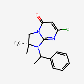 CC(c1ccccc1)N1c2nc(Cl)cc(=O)n2C[C@@]1(C)C(F)(F)F